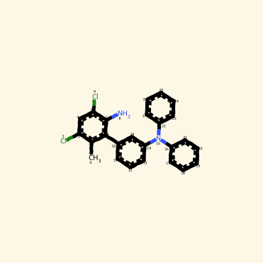 Cc1c(Cl)cc(Cl)c(N)c1-c1cccc(N(c2ccccc2)c2ccccc2)c1